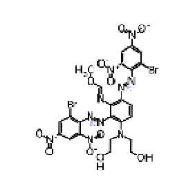 COC=Nc1c(/N=N/c2c(Br)cc([N+](=O)[O-])cc2[N+](=O)[O-])ccc(N(CCO)CCO)c1/N=N/c1c(Br)cc([N+](=O)[O-])cc1[N+](=O)[O-]